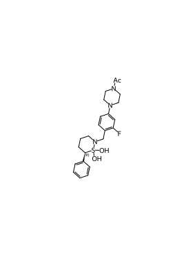 CC(=O)N1CCN(c2ccc(CN3CCC[C@H](c4ccccc4)S3(O)O)c(F)c2)CC1